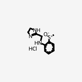 C[S+]([O-])c1ccccc1NCC1=NCCN1.Cl